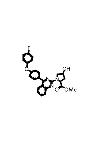 COC(=O)C1CC(O)CN1c1nc(-c2ccc(Oc3ccc(F)cc3)cc2)c2ccccc2n1